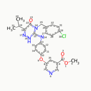 COC(=O)c1cncc(Oc2ccc(/N=c3\[nH]nc(C(C)C)c(=O)n3Cc3ccc(Cl)cc3)cc2)c1